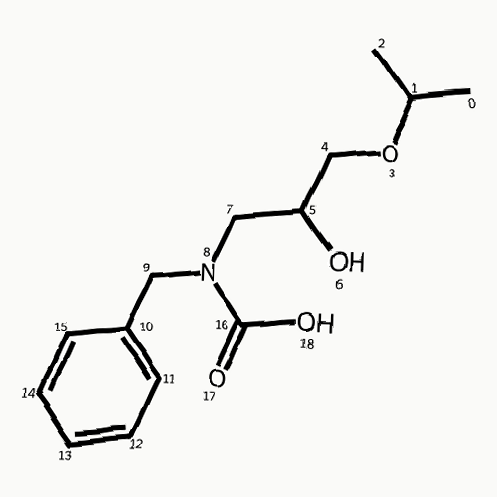 CC(C)OCC(O)CN(Cc1ccccc1)C(=O)O